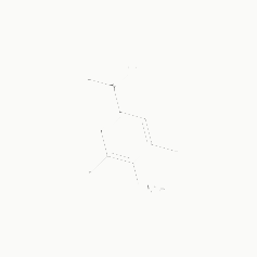 COc1c(Cl)cc(C(=O)Cl)cc1I